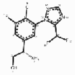 N[C@H](CO)c1cc(F)c(Cl)c(-n2ncnc2C(F)F)c1